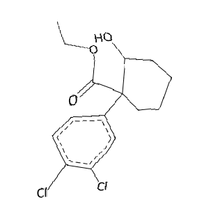 CCOC(=O)C1(c2ccc(Cl)c(Cl)c2)CCCCC1O